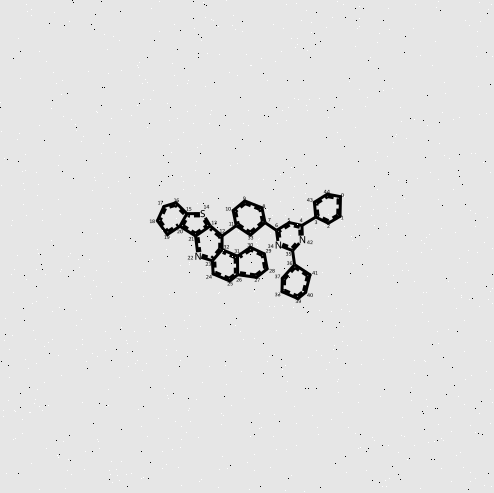 c1ccc(-c2cc(-c3cccc(-c4c5sc6ccccc6c5nc5ccc6ccccc6c45)c3)nc(-c3ccccc3)n2)cc1